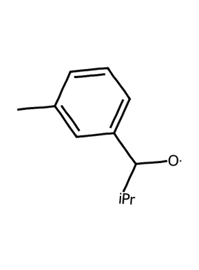 Cc1cccc(C([O])C(C)C)c1